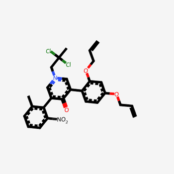 C=CCOc1ccc(-c2cn(CC(C)(Cl)Cl)cc(-c3c(C)cccc3[N+](=O)[O-])c2=O)c(OCC=C)c1